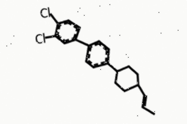 CC=CC1CCC(c2ccc(-c3ccc(Cl)c(Cl)c3)cc2)CC1